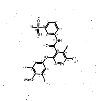 COc1c(F)cc(Oc2nnc(C(F)(F)F)c(C)c2C(=O)Nc2cccc(S(C)(=N)=O)c2)cc1F